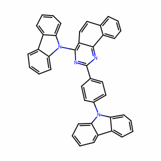 c1ccc2c(c1)ccc1c(-n3c4ccccc4c4ccccc43)nc(-c3ccc(-n4c5ccccc5c5ccccc54)cc3)nc12